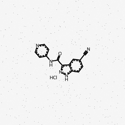 Cl.N#Cc1ccc2[nH]nc(C(=O)Nc3ccncc3)c2c1